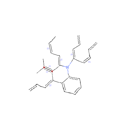 C=C/C=C\C(=C/C=C)N(C(/C=C\C)=C/C=C\C)c1ccccc1C(/C=C\C)=C/C=C